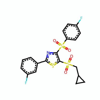 O=S(=O)(CC1CC1)c1sc(-c2cccc(F)c2)nc1S(=O)(=O)c1ccc(F)cc1